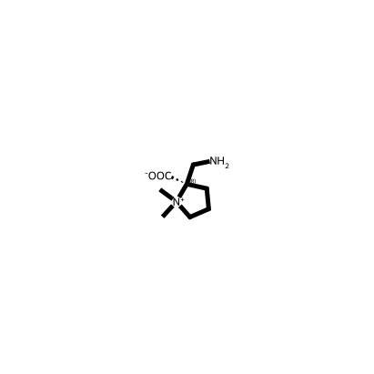 C[N+]1(C)CCC[C@@]1(CN)C(=O)[O-]